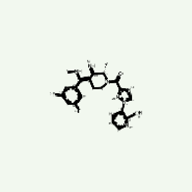 CN/C(=C1/CCN(C(=O)c2ncn(-c3cccnc3O)n2)[C@@H](C)C1=N)c1cc(F)cc(F)c1